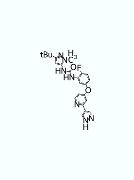 Cn1nc(C(C)(C)C)cc1NC(=O)Nc1cc(Oc2ccnc(-c3cn[nH]c3)c2)ccc1F